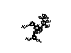 CNC(=O)[C@@H]1OC(n2cnc3c(NCc4cc(C)cc(C)c4)nc(-c4cncc(C)c4)nc32)C(O)C1O